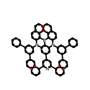 c1ccc(-c2cc(-c3ccccc3)cc(N3c4cc(-c5cc(-c6ccccc6)nc(-c6ccccc6)c5)cc5c4B(c4c3ccc3ccccc43)c3c(ccc4ccccc34)N5c3cc(-c4ccccc4)cc(-c4ccccc4)c3)c2)cc1